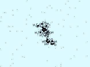 CSP(=O)(OC[C@H]1O[C@@H](n2ccc(=O)[nH]c2=O)[C@H](O)[C@@H]1O)OP(=O)(O)OC1OC2(OC(C)=O)C1C(O)C(OC(C)=O)C2[C@H](COC(C)=O)OC(C)=O